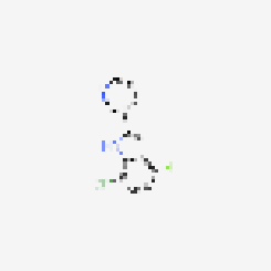 Fc1ccc(Cl)c2[nH]c(-c3cccnc3)cc12